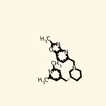 Cc1cc(C[C@H]2CCCN(Cc3ccc4oc(C)nc4n3)C2)cc(C)n1